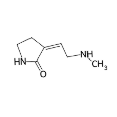 CNC/C=C1/CCNC1=O